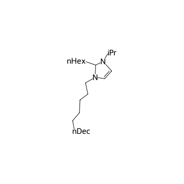 CCCCCCCCCCCCCCCN1C=CN(C(C)C)C1CCCCCC